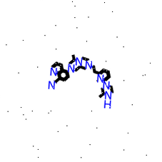 CC1CN(c2cccc(CCN3CCN4C(C)CN(c5ccc(C#N)c6ncccc56)CC4C3)n2)CCN1